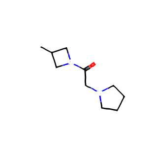 CC1CN(C(=O)CN2CCCC2)C1